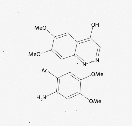 COc1cc(N)c(C(C)=O)cc1OC.COc1cc2nncc(O)c2cc1OC